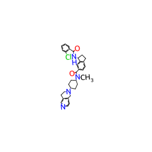 CN(C(=O)c1ccc2c(c1)[C@H](NC(=O)c1ccccc1Cl)CC2)C1CCC(N2CCc3cnccc3C2)CC1